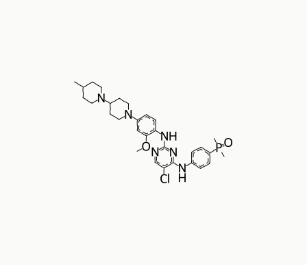 COc1cc(N2CCC(N3CCC(C)CC3)CC2)ccc1Nc1ncc(Cl)c(Nc2ccc(P(C)(C)=O)cc2)n1